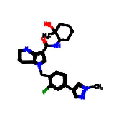 Cn1cc(-c2ccc(Cn3cc(C(=O)NC4CCCCC4(C)O)c4ncccc43)c(F)c2)cn1